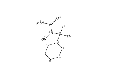 CNC(=O)N(N=O)C(C)(Cl)C1CCCCC1